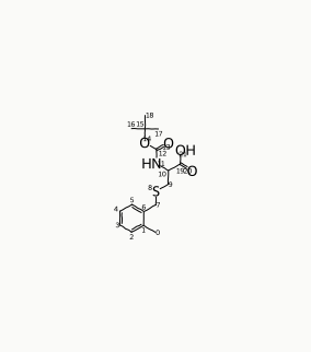 Cc1ccccc1CSCC(NC(=O)OC(C)(C)C)C(=O)O